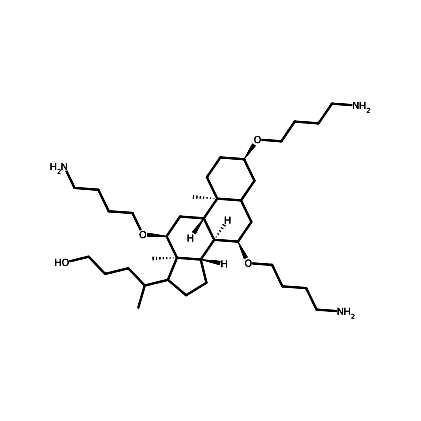 CC(CCCO)C1CC[C@H]2[C@@H]3[C@H](OCCCCN)CC4C[C@H](OCCCCN)CC[C@]4(C)[C@H]3C[C@H](OCCCCN)[C@]12C